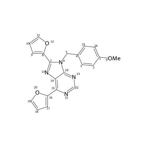 COc1ccc(Cn2c(-c3ccco3)nc3c(-c4ccco4)ncnc32)cc1